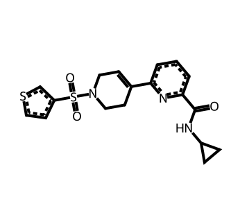 O=C(NC1CC1)c1cccc(C2=CCN(S(=O)(=O)c3ccsc3)CC2)n1